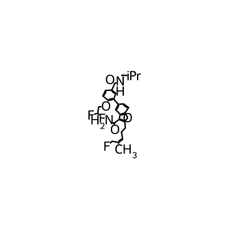 CC(=CCCc1oc2ccc(-c3cc(C(=O)NCC(C)C)ccc3OCC(F)F)cc2c1C(N)=O)CF